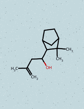 C=C(C)CC(O)C1C2CCC(C2)C1(C)C